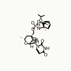 CC(C)OC(=O)[C@H](C)N[P@@](=O)(OC[C@@]12C[C@@H](C)O[C@@H]([C@H](n3ccc(=O)[nH]c3=O)O1)[C@@H]2O)Oc1ccccc1